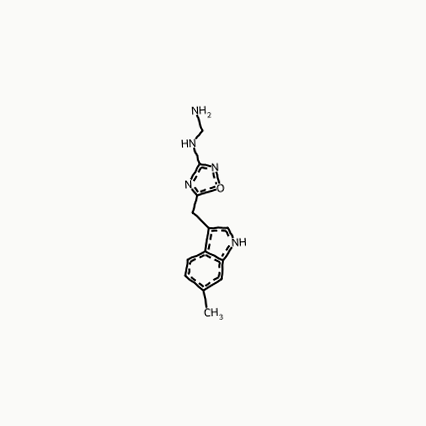 Cc1ccc2c(Cc3nc(NCN)no3)c[nH]c2c1